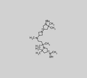 CCCN(C)[C@H]1CN(C(C)(C)CCN(C)C2CN([C@H]3CN(C(C)(C)C)C(C)(C)C3)C2)C(C)(C)C1